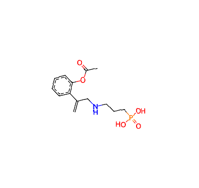 C=C(CNCCCP(=O)(O)O)c1ccccc1OC(C)=O